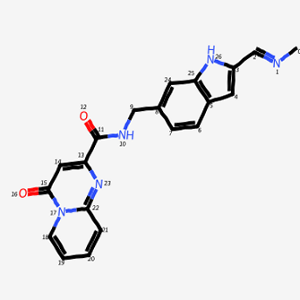 C/N=C/c1cc2ccc(CNC(=O)c3cc(=O)n4ccccc4n3)cc2[nH]1